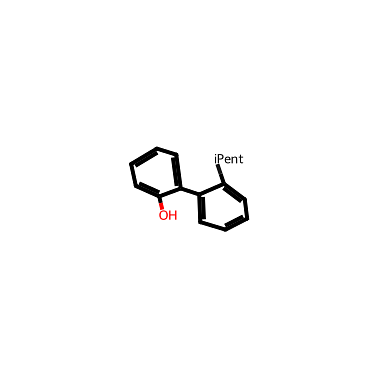 CCCC(C)c1ccccc1-c1ccccc1O